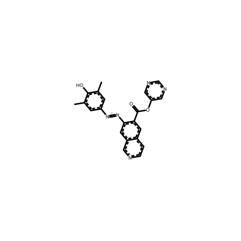 Cc1cc(/N=N/c2cc3cnccc3cc2C(=O)Oc2cncnc2)cc(C)c1O